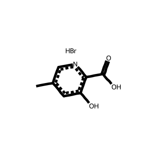 Br.Cc1cnc(C(=O)O)c(O)c1